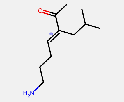 CC(=O)/C(=C/CCCN)CC(C)C